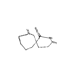 C=C1CCC2(CCCCNC2)C(=C)N1